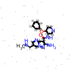 CNCc1cnc2c(C(=O)Nc3cnccc3Oc3ccccc3)c(N)nn2c1